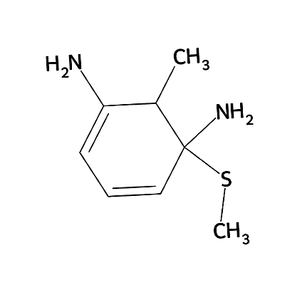 CSC1(N)C=CC=C(N)C1C